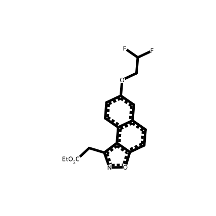 CCOC(=O)Cc1noc2ccc3cc(OCC(F)F)ccc3c12